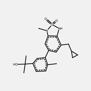 Cc1ccc(C(C)(C)O)cc1-c1cc(CC2CC2)c2c(c1)N(C)S(=O)(=O)N2